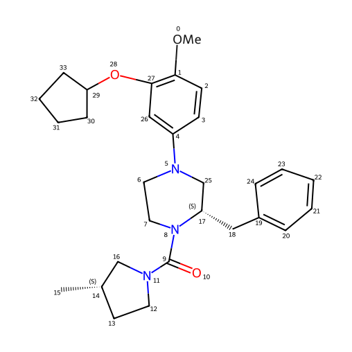 COc1ccc(N2CCN(C(=O)N3CC[C@H](C)C3)[C@@H](Cc3ccccc3)C2)cc1OC1CCCC1